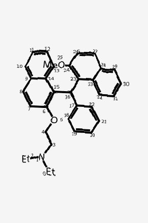 CCN(CC)CCOc1ccc2ccccc2c1C(c1ccccc1)c1c(OC)ccc2ccccc12